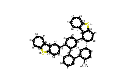 N#Cc1ccccc1-c1ccccc1-c1cc(-c2cccc3sc4ccccc4c23)ccc1-c1ccc2sc3ccccc3c2c1